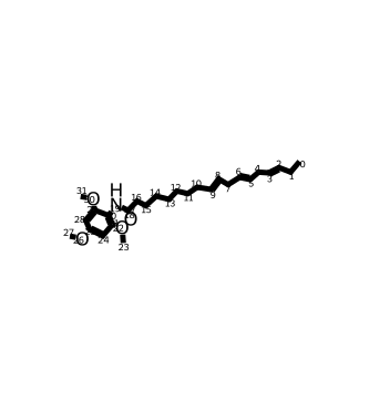 CCC=CCC=CCC=CCCCCCCCC(=O)Nc1c(OC)cc(OC)cc1OC